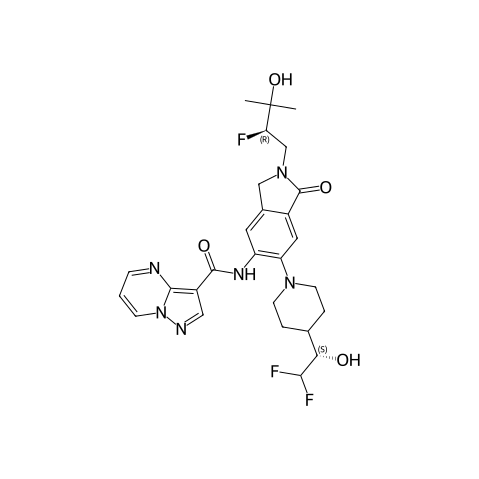 CC(C)(O)[C@H](F)CN1Cc2cc(NC(=O)c3cnn4cccnc34)c(N3CCC([C@H](O)C(F)F)CC3)cc2C1=O